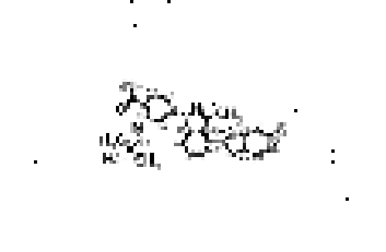 Cc1nn(-c2ccc(C(N)=O)c(NCC(C)(C)O)c2)c2cccc(-c3nc4ccc(F)cc4[nH]3)c12